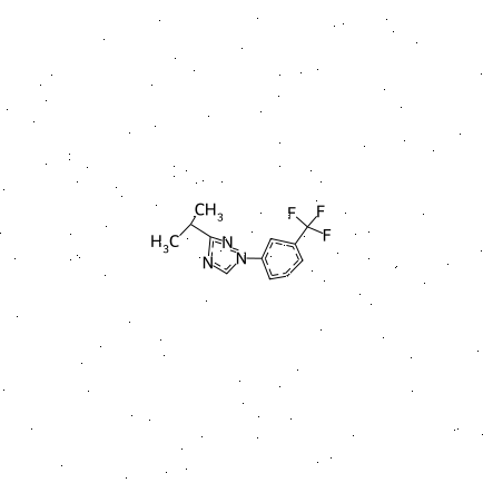 CC(C)c1ncn(-c2cccc(C(F)(F)F)c2)n1